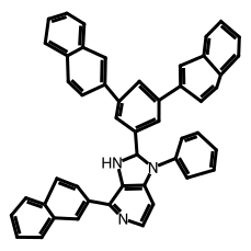 c1ccc(N2c3ccnc(-c4ccc5ccccc5c4)c3NC2c2cc(-c3ccc4ccccc4c3)cc(-c3ccc4ccccc4c3)c2)cc1